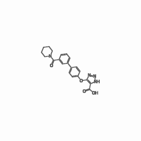 O=C(O)c1[nH]nnc1Oc1ccc(-c2cccc(C(=O)N3CCCCC3)c2)cc1